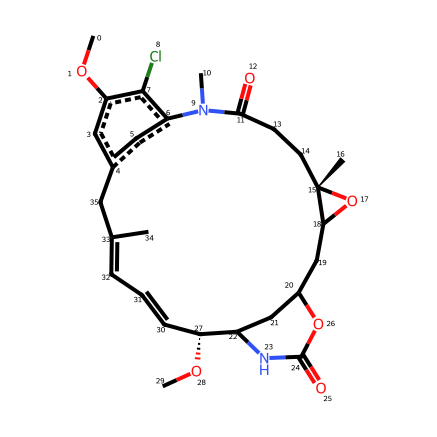 COc1cc2cc(c1Cl)N(C)C(=O)CC[C@]1(C)OC1CC1CC(NC(=O)O1)[C@H](OC)/C=C/C=C(\C)C2